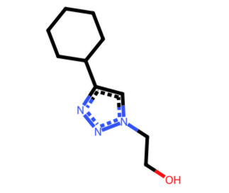 OCCn1cc(C2CCCCC2)nn1